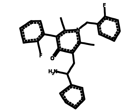 Cc1c(CC(N)c2ccccc2)c(=O)c(-c2ccccc2F)c(C)n1Cc1ccccc1F